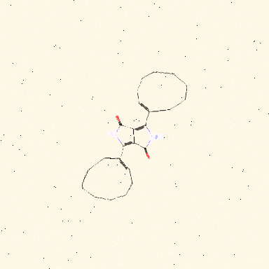 O=C1NC(/C2=C/CCCCCCC2)=C2C(=O)NC(/C3=C/CCCCCCC3)=C12